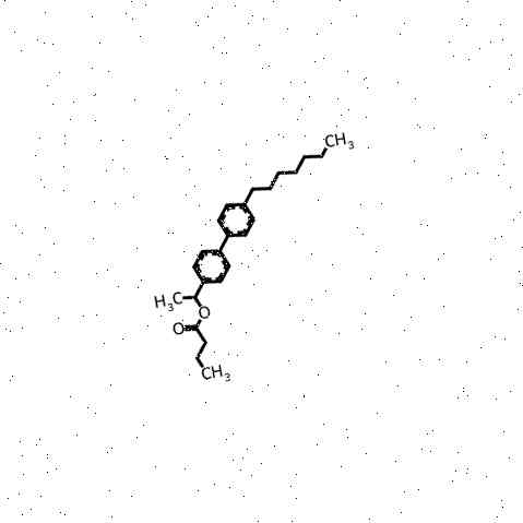 CCCCCCCc1ccc(-c2ccc([C](C)OC(=O)CCC)cc2)cc1